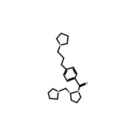 O=C(c1ccc(CCCN2CCCC2)cc1)N1CCC[C@H]1CN1CCCC1